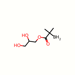 BC(C)(C)C(=O)OCC(O)CO